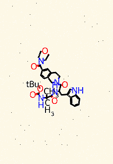 CC(C)(C)OC(=O)NC(C)(C)C(=O)NC(Cc1c[nH]c2ccccc12)C(=O)N1CCc2cc(C(=O)N3CCOCC3)ccc2C1